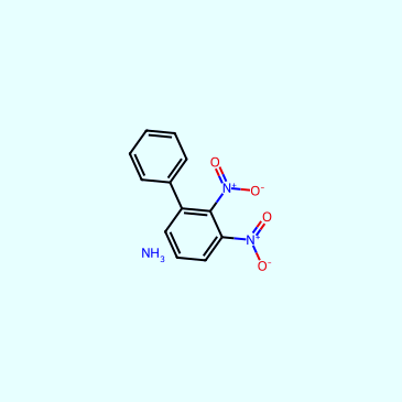 N.O=[N+]([O-])c1cccc(-c2ccccc2)c1[N+](=O)[O-]